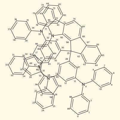 c1ccc(N(c2ccccc2)c2cc(N(c3ccccc3)c3ccccc3)cc(C3(c4cc(N(c5ccccc5)c5ccccc5)cc(N(c5ccccc5)c5ccccc5)c4)c4ccccc4-c4ccc5c6ccccc6n(-c6ccccc6)c5c43)c2)cc1